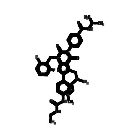 CCNC(=O)Nc1ccc(-c2sc3c(c2CN(C)CCOC)c(=O)n(-c2ccc(C(=O)NC(C)C)cc2)c(=O)n3Cc2c(F)cccc2F)cc1